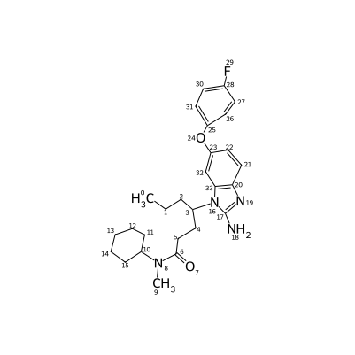 CCCC(CCC(=O)N(C)C1CCCCC1)n1c(N)nc2ccc(Oc3ccc(F)cc3)cc21